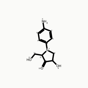 Nc1ccc(N2CC(O)C(=O)C2CO)cc1